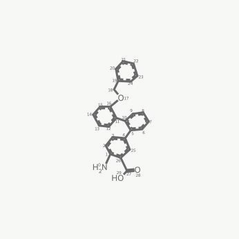 Nc1ccc(-c2ccccc2-c2ccccc2OCc2ccccc2)cc1C(=O)O